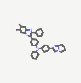 Cc1cc2nc(-c3ccccc3)c(-c3ccc(N(c4ccccc4)c4ccc(-c5cn6ccccc6n5)cc4)cc3)nc2cc1C